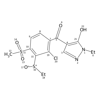 CCn1ncc(C(=O)c2ccc(S(C)(=O)=O)c([S+]([O-])CC)c2Cl)c1O